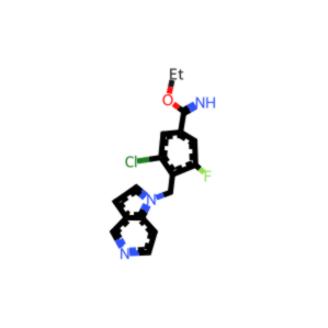 CCOC(=N)c1cc(F)c(Cn2ccc3cnccc32)c(Cl)c1